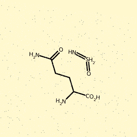 N=[SH2]=O.NC(=O)CCC(N)C(=O)O